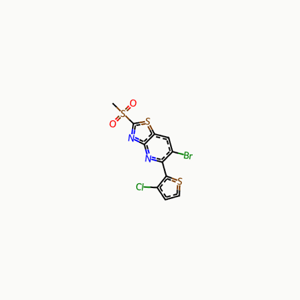 CS(=O)(=O)c1nc2nc(-c3sccc3Cl)c(Br)cc2s1